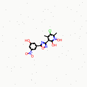 Cc1c(Cl)c(C)[n+](O)c(O)c1-c1noc(-c2cc(O)cc([N+](=O)[O-])c2)n1